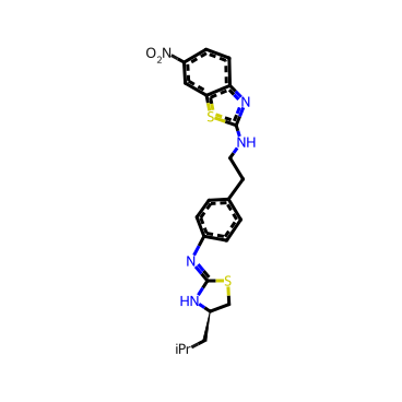 CC(C)C[C@@H]1CS/C(=N\c2ccc(CCNc3nc4ccc([N+](=O)[O-])cc4s3)cc2)N1